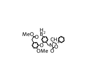 Bc1ccc(CN2C(=O)O[C@@H](c3ccccc3)[C@H]2C)c(Oc2cc(CC(=O)OC)ccc2OC)c1